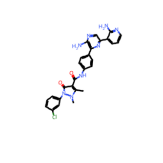 Cc1c(C(=O)Nc2ccc(-c3nc(-c4cccnc4N)cnc3N)cc2)c(=O)n(-c2cccc(Cl)c2)n1C